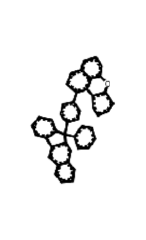 c1ccc(C2(c3ccc(-c4ccc5cccc6c5c4-c4ccccc4O6)cc3)c3ccccc3-c3cc4ccccc4cc32)cc1